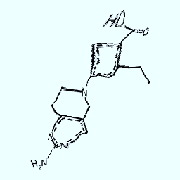 CCc1cc(N2CCc3nc(N)ncc3C2)ccc1C(=O)O